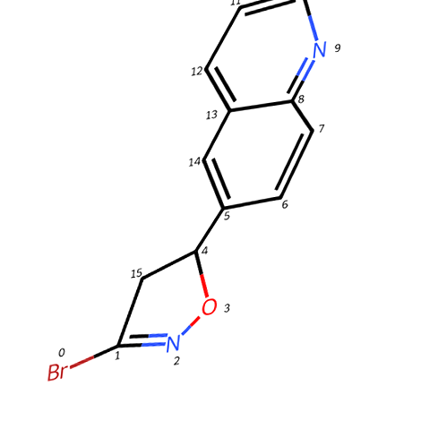 BrC1=NOC(c2ccc3ncccc3c2)C1